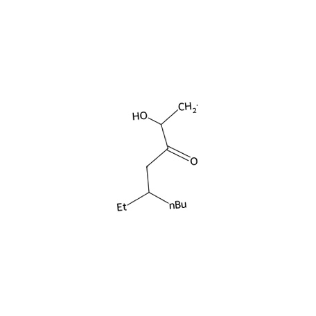 [CH2]C(O)C(=O)CC(CC)CCCC